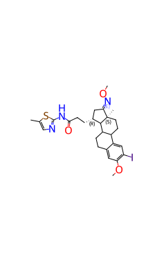 CO/N=C1\C[C@@H](CCC(=O)Nc2ncc(C)s2)C2C3CCc4cc(OC)c(I)cc4C3CC[C@]12C